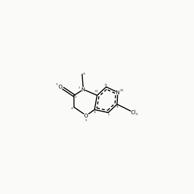 CN1C(=O)COc2cc(Cl)ncc21